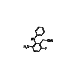 N#CCc1c(F)ccc(N)c1Nc1ccccc1